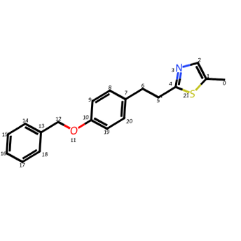 Cc1cnc([CH]Cc2ccc(OCc3ccccc3)cc2)s1